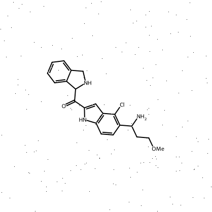 COCCC(N)c1ccc2[nH]c(C(=O)C3NCc4ccccc43)cc2c1Cl